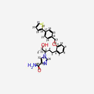 C[C@H](O)[C@@H](CCc1ccccc1OCc1ccc(-c2cccs2)cc1)n1cnc(C(N)=O)c1